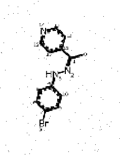 CC(=NNc1ccc(Br)cc1)c1ccncc1